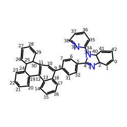 C1=CC2N=C(c3ccc(-c4cc5c(c6ccccc46)-c4ccccc4C4C=CC=CC54)cc3)N(c3ccccn3)C2C=C1